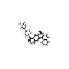 C=CC(=O)N1CCN(c2ncnc3cc(-c4c(CC)ccc5c4CCCC5)c(Cl)cc23)CC1